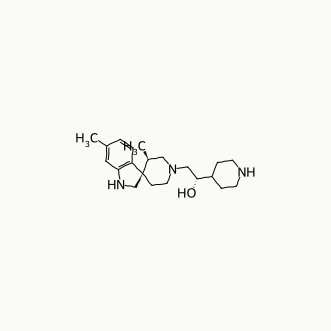 Cc1ccc2c(c1)NC[C@@]21CCN(C[C@@H](O)C2CCNCC2)C[C@@H]1C